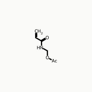 C=CC(=O)NCOC(C)=O